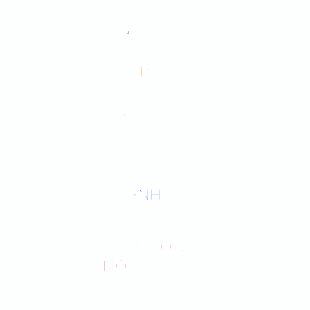 CCOP(=O)(CC=CCNCC(=O)O)OCC